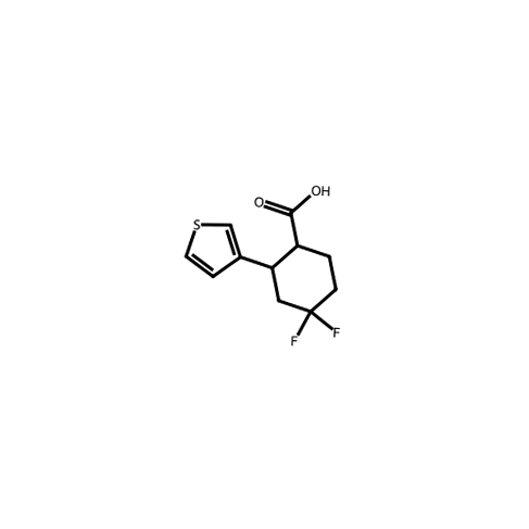 O=C(O)C1CCC(F)(F)CC1c1ccsc1